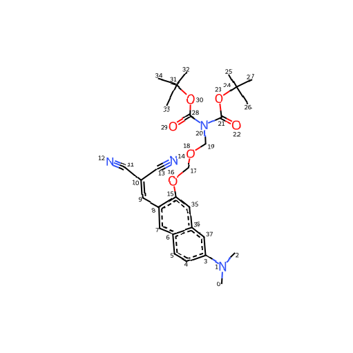 CN(C)c1ccc2cc(C=C(C#N)C#N)c(OCOCN(C(=O)OC(C)(C)C)C(=O)OC(C)(C)C)cc2c1